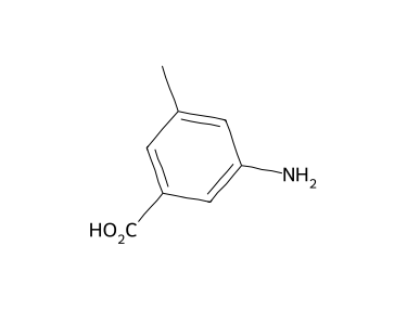 Cc1cc(N)cc(C(=O)O)c1